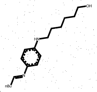 CC[CH]CC=Nc1ccc(NCCCCCCO)cc1